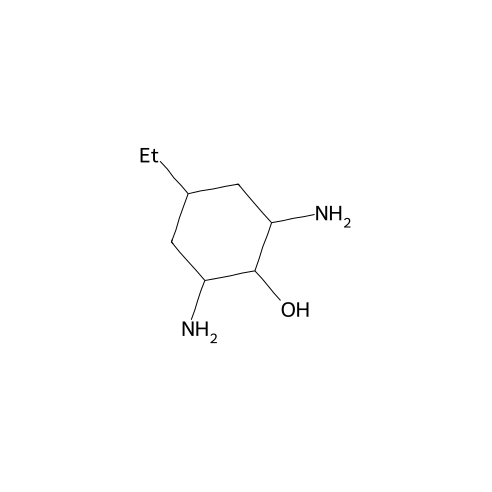 CCC1CC(N)C(O)C(N)C1